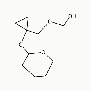 OCOCC1(OC2CCCCO2)CC1